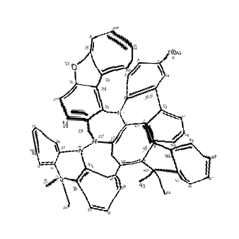 CCCCc1ccc(N2c3cc4c(c5c3B(c3ccc6oc7ccccc7c6c32)N2c3ccccc3S(C)(C)c3cccc-5c32)C(C)(C)c2ccccc2-4)c(-c2ccccc2)c1